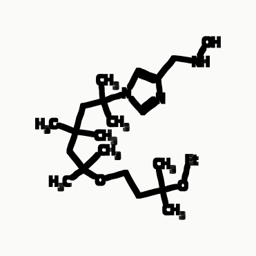 CCOC(C)(C)CCOC(C)(C)CC(C)(C)CC(C)(C)n1cnc(CNO)c1